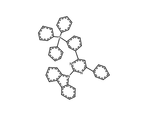 c1ccc(-c2cc(-c3cccc([Si](c4ccccc4)(c4ccccc4)c4ccccc4)c3)nc(-n3c4ccccc4c4ccccc43)n2)cc1